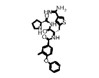 Cc1cc(C(=O)N[C@@H](Cc2cc(C(=N)N)cs2)C(=O)NC(=O)[C@@H]2CCCN2)ccc1Oc1ccccc1